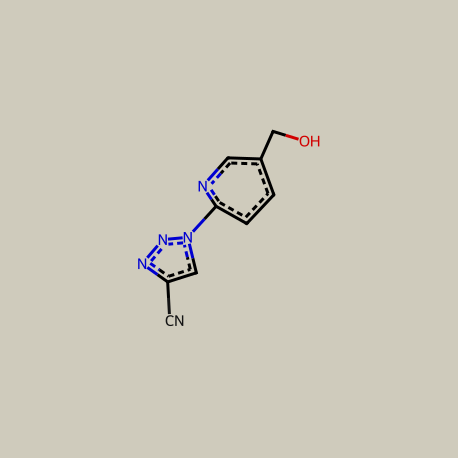 N#Cc1cn(-c2ccc(CO)cn2)nn1